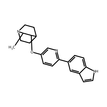 CC1C(Oc2ccc(-c3ccc4[nH]ccc4c3)nc2)C2CCN1CC2